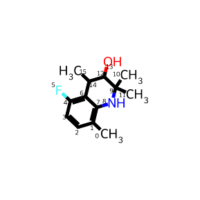 Cc1ccc(F)c2c1NC(C)(C)C(O)C2C